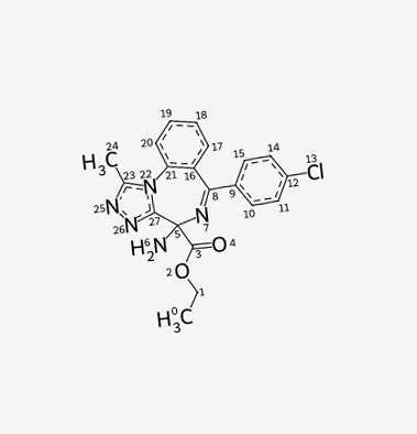 CCOC(=O)C1(N)N=C(c2ccc(Cl)cc2)c2ccccc2-n2c(C)nnc21